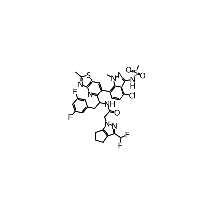 Cc1nc2nc(C(Cc3cc(F)cc(F)c3)NC(=O)Cn3nc(C(F)F)c4c3CCC4)c(-c3ccc(Cl)c4c(NS(C)(=O)=O)nn(C)c34)cc2s1